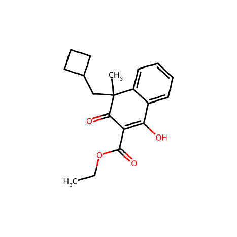 CCOC(=O)C1=C(O)c2ccccc2C(C)(CC2CCC2)C1=O